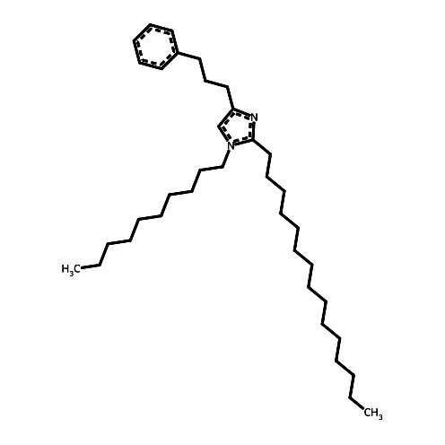 CCCCCCCCCCCCCCCc1nc(CCCc2ccccc2)cn1CCCCCCCCCC